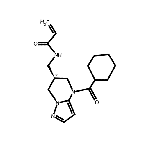 C=CC(=O)NC[C@H]1CN(C(=O)C2CCCCC2)c2ccnn2C1